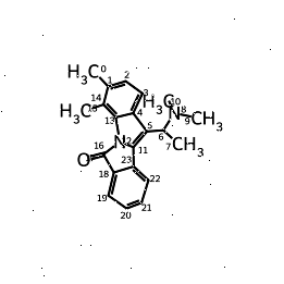 Cc1ccc2c(C(C)N(C)C)c3n(c2c1C)C(=O)c1ccccc1-3